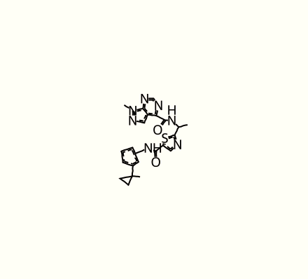 CC(NC(=O)c1ncnc2c1cnn2C)c1ncc(C(=O)Nc2cccc(C3(C)CC3)c2)s1